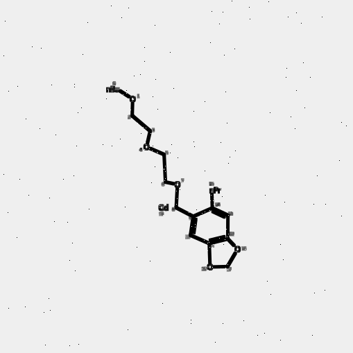 CCCCOCCOCCOCc1cc2c(cc1CCC)OCO2.[Gd]